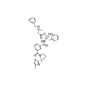 Cc1csc([C@H]2CCCN2C(=O)c2cccc(C(=O)N[C@@H](Cc3ccccc3)[C@@H](O)[C@H]3C[C@@H](OCc4ccccc4)CN3)c2)n1